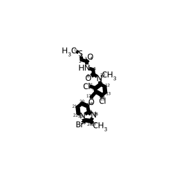 CSCC(=O)NCC(=O)N(C)c1ccc(Cl)c(COc2cccn3c(Br)c(C)nc23)c1Cl